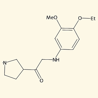 CCOc1ccc(NCC(=O)C2CC[N]C2)cc1OC